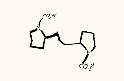 O=C(O)N1CCCC1CCC1CCCN1C(=O)O